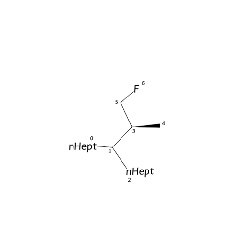 CCCCCCCC(CCCCCCC)[C@H](C)CF